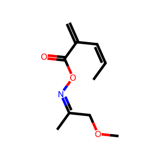 C=C(/C=C\C)C(=O)O/N=C(/C)COC